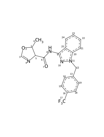 CC1OC=NC1C(=O)Nc1nn(Cc2ccc(C(F)(F)F)cc2)c2ccccc12